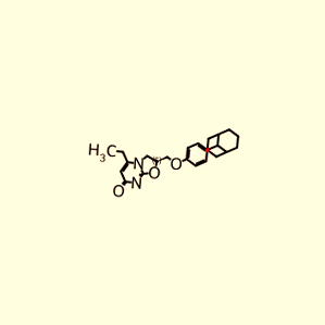 CCc1cc(=O)nc2n1C[C@@H](COc1ccc(C3C4CCCC3CCC4)cc1)O2